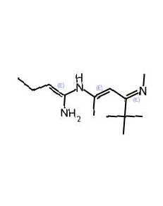 CC/C=C(\N)N/C(C)=C/C(=N\C)C(C)(C)C